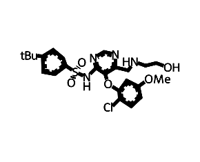 COc1ccc(Cl)c(Oc2c(CNCCO)ncnc2NS(=O)(=O)c2ccc(C(C)(C)C)cc2)c1